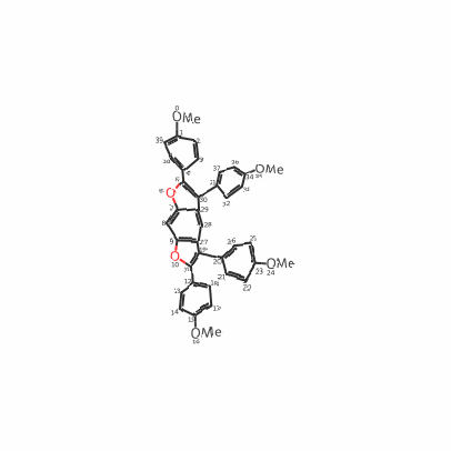 COc1ccc(-c2oc3cc4oc(-c5ccc(OC)cc5)c(-c5ccc(OC)cc5)c4cc3c2-c2ccc(OC)cc2)cc1